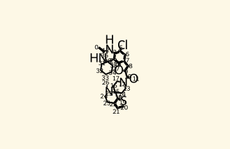 C=C1Nc2c(Cl)cc3cc(C(=O)N4CCC5(CC4)c4sccc4CCN5C)oc3c2C2(CCCCC2)N1